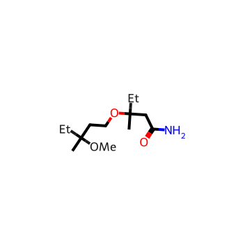 CCC(C)(CCOC(C)(CC)CC(N)=O)OC